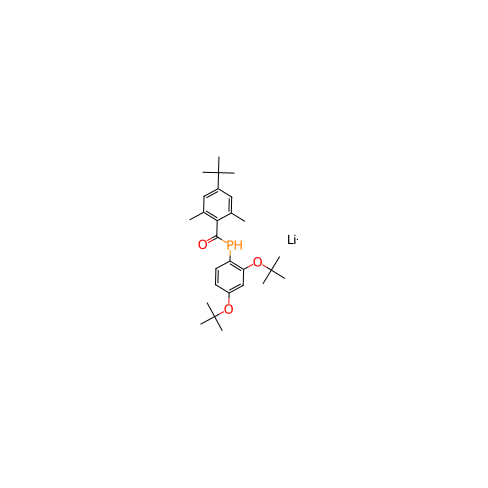 Cc1cc(C(C)(C)C)cc(C)c1C(=O)Pc1ccc(OC(C)(C)C)cc1OC(C)(C)C.[Li]